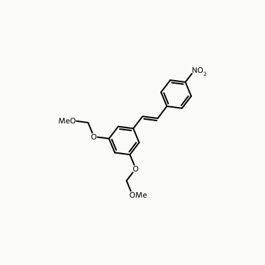 COCOc1cc(C=Cc2ccc([N+](=O)[O-])cc2)cc(OCOC)c1